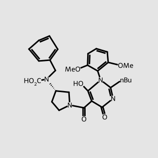 CCCCc1nc(=O)c(C(=O)N2CC[C@H](N(Cc3ccccc3)C(=O)O)C2)c(O)n1-c1c(OC)cccc1OC